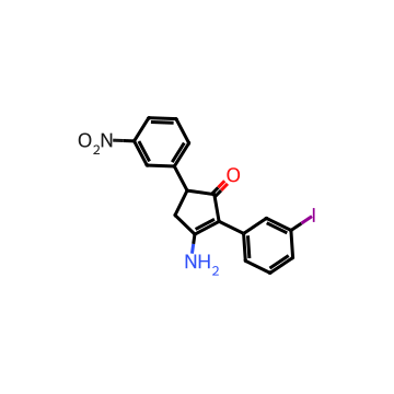 NC1=C(c2cccc(I)c2)C(=O)C(c2cccc([N+](=O)[O-])c2)C1